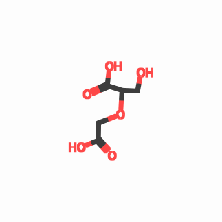 O=C(O)COC(CO)C(=O)O